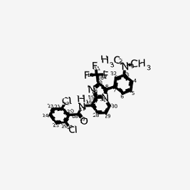 CN(C)c1cccc(-c2c(C(F)(F)F)nc3c(NC(=O)c4c(Cl)cccc4Cl)cccn23)c1